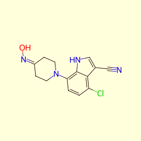 N#Cc1c[nH]c2c(N3CCC(=NO)CC3)ccc(Cl)c12